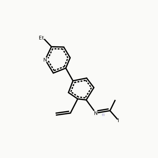 C=Cc1cc(-c2ccc(CC)nc2)ccc1/N=C(\C)I